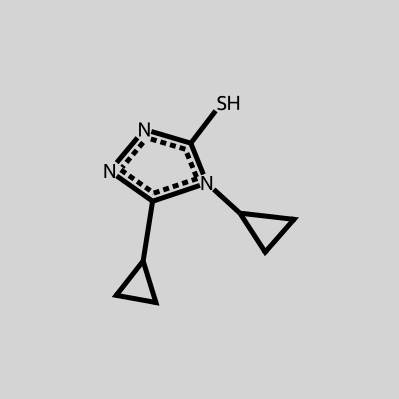 Sc1nnc(C2CC2)n1C1CC1